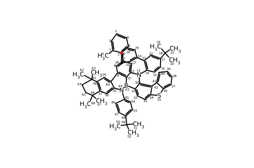 Cc1ccccc1-c1cc2c3c(c1)N(c1ccc(C(C)(C)C)cc1-c1ccccc1)c1c(ccc4sc5ccccc5c14)B3N(c1ccc(C(C)(C)C)cc1)c1cc3c(cc1-2)C(C)(C)CCC3(C)C